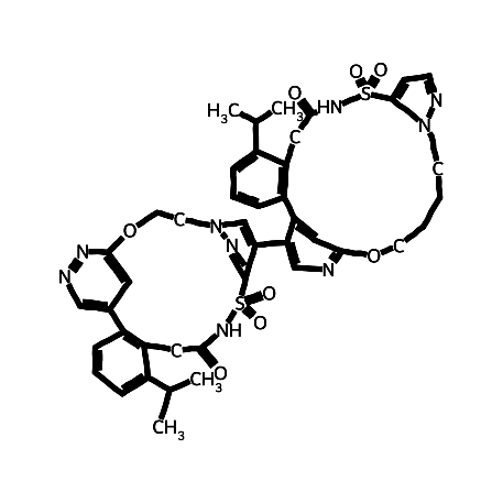 CC(C)c1cccc2c1CC(=O)NS(=O)(=O)c1nn(cc1-c1cnc3cc1-c1cccc(C(C)C)c1CC(=O)NS(=O)(=O)c1ccnn1CCCCCO3)CCOc1cc-2cnn1